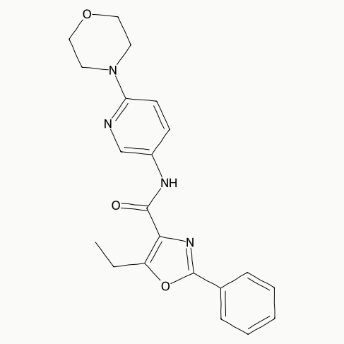 CCc1oc(-c2ccccc2)nc1C(=O)Nc1ccc(N2CCOCC2)nc1